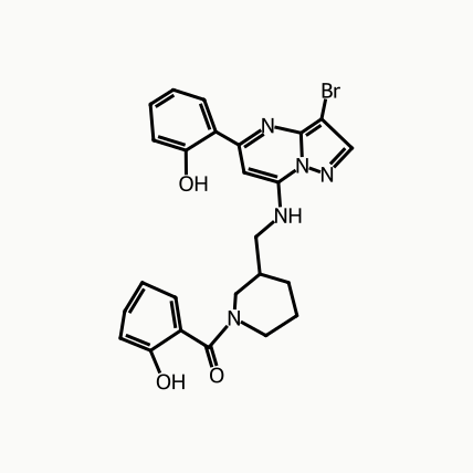 O=C(c1ccccc1O)N1CCCC(CNc2cc(-c3ccccc3O)nc3c(Br)cnn23)C1